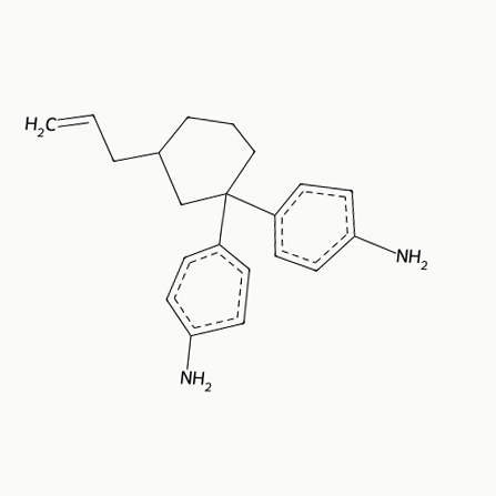 C=CCC1CCCC(c2ccc(N)cc2)(c2ccc(N)cc2)C1